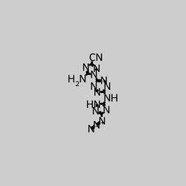 N#Cc1nc(N)n(-c2nnc(Nc3nc(N=[N+]=[N-])n[nH]3)nn2)n1